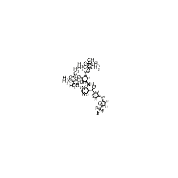 CC(C)[Si](O[C@H]1C[C@H](Nc2ncncc2C(=O)c2cc(Cc3ccc(C(F)(F)F)o3)cs2)C[C@@H]1CO[Si](C)(C)C(C)(C)C)(C(C)C)C(C)C